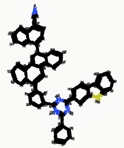 N#Cc1ccc(-c2cc3c4ccccc4c(-c4cccc(-c5nc(-c6ccccc6)nc(-c6ccc7c(c6)sc6ccccc67)n5)c4)cc3c3ccccc23)c2ccccc12